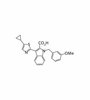 COc1cccc(Cn2c(C(=O)O)c(-c3ncc(C4CC4)s3)c3ccccc32)c1